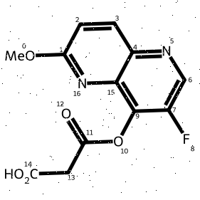 COc1ccc2ncc(F)c(OC(=O)CC(=O)O)c2n1